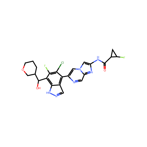 O=C(Nc1cn2cc(-c3c(Cl)c(F)c(C(O)C4CCCOC4)c4[nH]ncc34)ncc2n1)C1CC1F